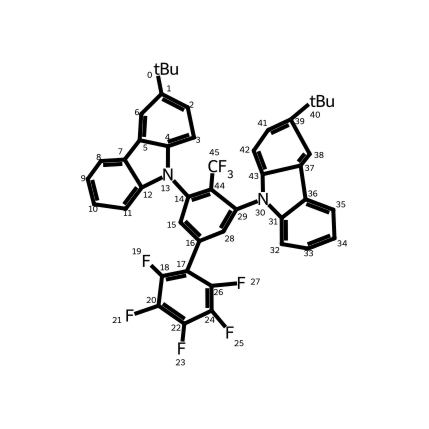 CC(C)(C)c1ccc2c(c1)c1ccccc1n2-c1cc(-c2c(F)c(F)c(F)c(F)c2F)cc(-n2c3ccccc3c3cc(C(C)(C)C)ccc32)c1C(F)(F)F